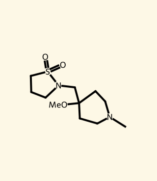 COC1(CN2CCCS2(=O)=O)CCN(C)CC1